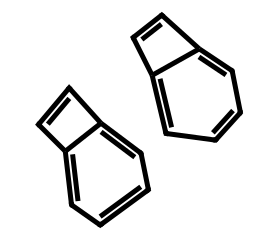 C1=Cc2ccccc21.C1=Cc2ccccc21